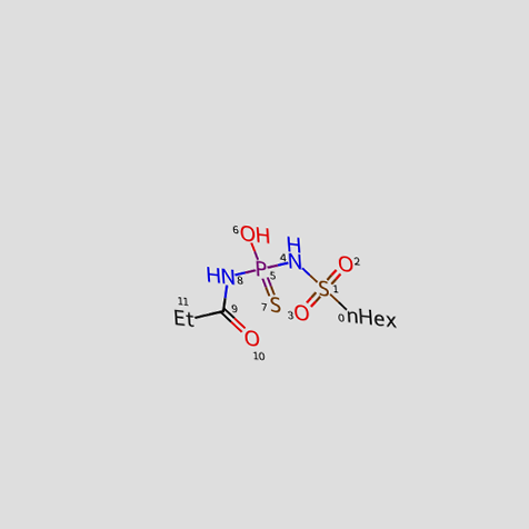 CCCCCCS(=O)(=O)NP(O)(=S)NC(=O)CC